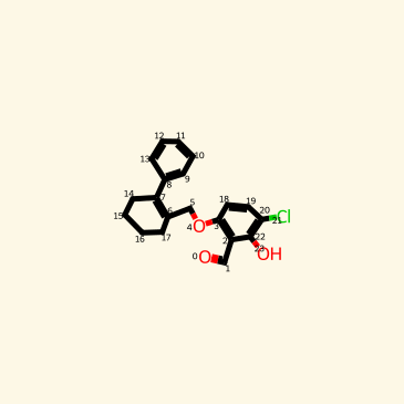 O=Cc1c(OCC2=C(c3ccccc3)CCCC2)ccc(Cl)c1O